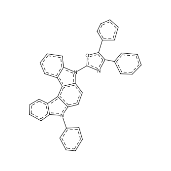 c1ccc(-c2nc(-n3c4ccccc4c4c5c6ccccc6n(-c6ccccc6)c5ccc43)oc2-c2ccccc2)cc1